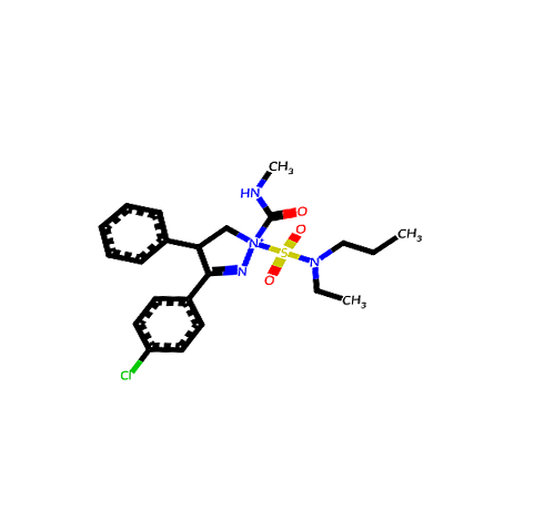 CCCN(CC)S(=O)(=O)[N+]1(C(=O)NC)CC(c2ccccc2)C(c2ccc(Cl)cc2)=N1